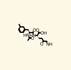 CC(=O)N[C@@H](CC1=CC=CC(C)C1)C(=O)N[C@@H](CCC(=O)C=N)C(=O)O